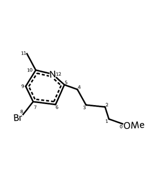 COCCCCc1cc(Br)cc(C)n1